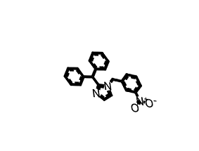 O=[N+]([O-])c1cccc(Cn2ccnc2C(c2ccccc2)c2ccccc2)c1